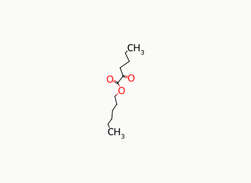 CCCCCCOC(=O)C(=O)CCCC